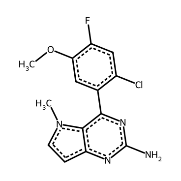 COc1cc(-c2nc(N)nc3ccn(C)c23)c(Cl)cc1F